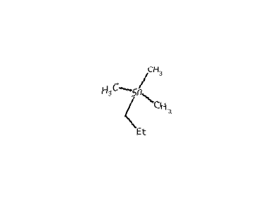 CC[CH2][Sn]([CH3])([CH3])[CH3]